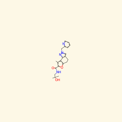 Cc1c(C(=O)NCC(C)(C)O)oc2c1-c1nn(Cc3ccccn3)cc1CC2